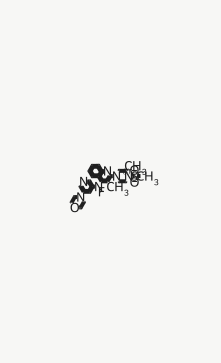 Cc1c(N2CCN(S(C)(=O)=O)[C@H](C)C2)nc2ccccc2c1N(F)c1cncc(N2CCOCC2)c1